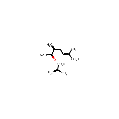 C=C(C)C(=O)O.C=C(CC=C(C)C(=O)O)C(=O)OC